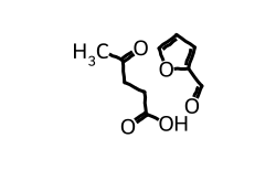 CC(=O)CCC(=O)O.O=Cc1ccco1